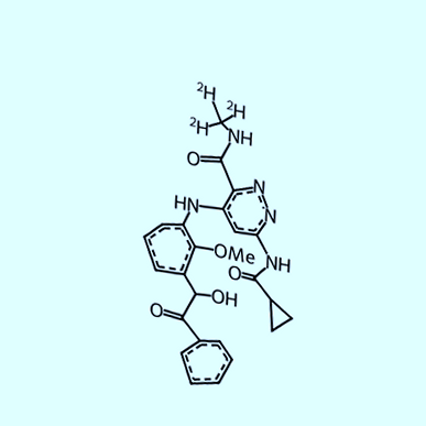 [2H]C([2H])([2H])NC(=O)c1nnc(NC(=O)C2CC2)cc1Nc1cccc(C(O)C(=O)c2ccccc2)c1OC